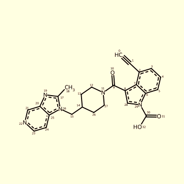 C#Cc1cccc2c1c(C(=O)N1CCC(Cn3c(C)nc4cnccc43)CC1)cn2C(=O)O